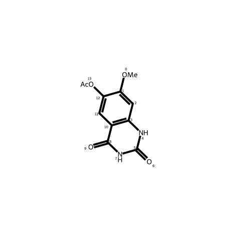 COc1cc2[nH]c(=O)[nH]c(=O)c2cc1OC(C)=O